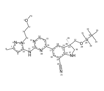 COCCCn1nc(C)cc1Nc1nccc(-c2cc(C#N)c3c(c2)[C@@](C)(CO[Si](C)(C)C(C)(C)C)CN3)n1